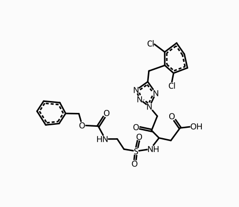 O=C(O)CC(NS(=O)(=O)CCNC(=O)OCc1ccccc1)C(=O)Cn1nnc(Cc2c(Cl)cccc2Cl)n1